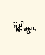 Cn1nc(N2CCC(c3nnc4n3-c3ccc(Cl)cc3CN(CC(F)(F)F)C4)CC2)c2cccnc21